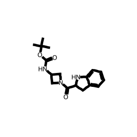 CC(C)(C)OC(=O)NC1CN(C(=O)C2Cc3ccccc3N2)C1